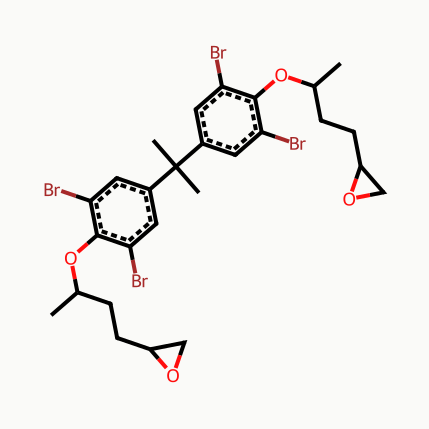 CC(CCC1CO1)Oc1c(Br)cc(C(C)(C)c2cc(Br)c(OC(C)CCC3CO3)c(Br)c2)cc1Br